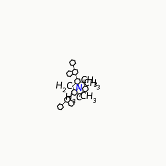 C=C1c2cc(-c3ccc(-c4ccccc4)c4ccccc34)cc3c2N2c4c1cc(-c1ccc(-c5ccccc5)c5ccccc15)cc4C(C)(C)c1cccc(c12)C3(C)C